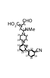 CNC(CN(CC=O)C(=O)O)N1CCN(c2cccc(-c3cccc(C#N)c3)n2)CC1